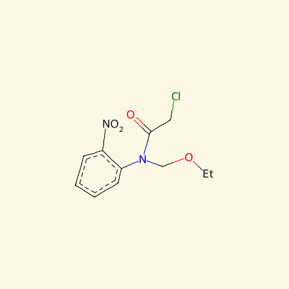 CCOCN(C(=O)CCl)c1ccccc1[N+](=O)[O-]